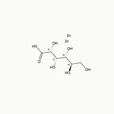 O=C(O)[C@H](O)[C@@H](O)[C@H](O)[C@H](O)CO.[Zn].[Zn]